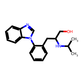 CC(C)NC(CO)Cc1ccccc1-n1cnc2ccccc21